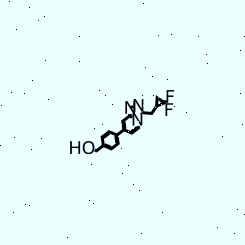 OCc1ccc(-c2ccn3c(CC4CC4(F)F)nnc3c2)cc1